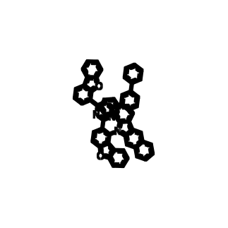 c1ccc(-c2cccc(-c3nc(-c4ccc5oc6ccccc6c5c4-n4c5cc6ccccc6cc5c5ccc6ccccc6c54)nc(-c4cccc5c4oc4ccccc45)n3)c2)cc1